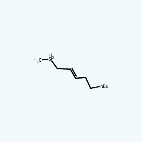 CCCCCCC=CC[SiH2]C